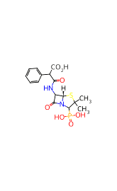 CC1(C)S[C@H]2C(NC(=O)C(C(=O)O)c3ccccc3)C(=O)N2C1P(=O)(O)O